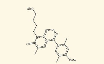 COCCCCn1c(=O)c(C)nc2c(-c3cc(C)c(OC)cc3C)ncnc21